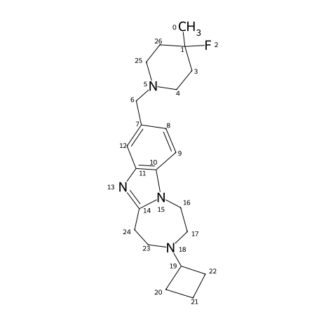 CC1(F)CCN(Cc2ccc3c(c2)nc2n3CCN(C3CCC3)CC2)CC1